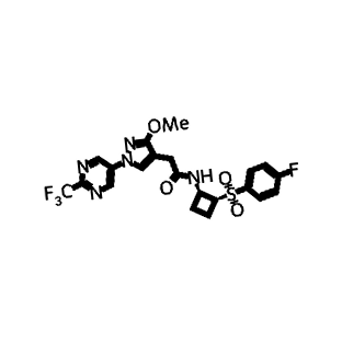 COc1nn(-c2cnc(C(F)(F)F)nc2)cc1CC(=O)N[C@@H]1CC[C@@H]1S(=O)(=O)c1ccc(F)cc1